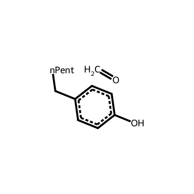 C=O.CCCCCCc1ccc(O)cc1